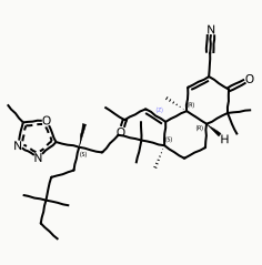 CCC(C)(C)CC[C@@](C)(CCC(C)(C)[C@]1(C)CC[C@H]2C(C)(C)C(=O)C(C#N)=C[C@]2(C)/C1=C/C(C)=O)c1nnc(C)o1